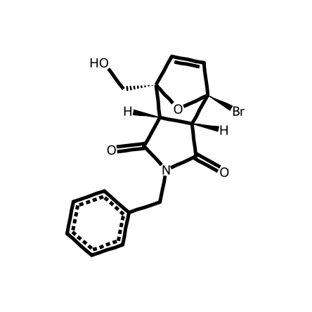 O=C1[C@@H]2[C@H](C(=O)N1Cc1ccccc1)[C@@]1(CO)C=C[C@@]2(Br)O1